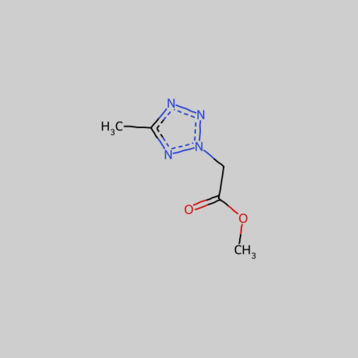 COC(=O)Cn1nnc(C)n1